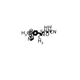 Cc1nc(NC(=O)NC#N)sc1-c1ccc(S(C)(=O)=O)c(-n2ccnc2)c1